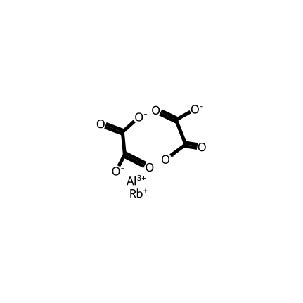 O=C([O-])C(=O)[O-].O=C([O-])C(=O)[O-].[Al+3].[Rb+]